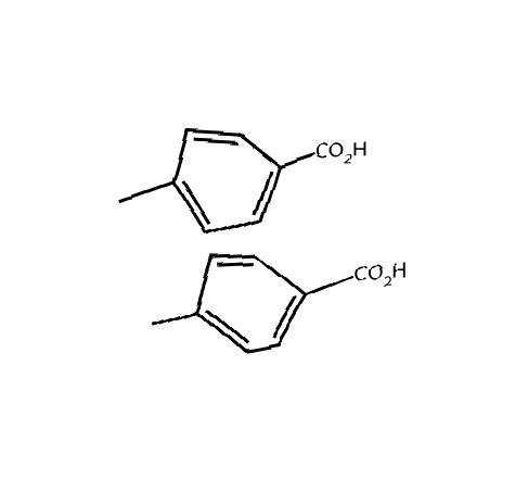 Cc1ccc(C(=O)O)cc1.Cc1ccc(C(=O)O)cc1